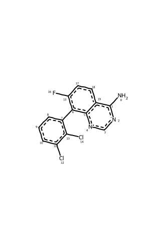 Nc1ncnc2c(-c3cccc(Cl)c3Cl)c(F)ccc12